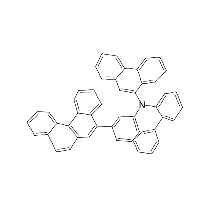 c1ccc(-c2ccccc2N(c2cccc(-c3cc4ccc5ccccc5c4c4ccccc34)c2)c2cc3ccccc3c3ccccc23)cc1